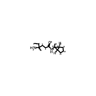 CCC(C)(N)CCC(=O)NC1(C)[C@@H]2CCC[C@@H]21